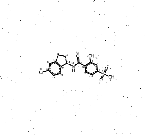 Cc1cc(S(C)(=O)=O)ccc1C(=O)N[C@@H]1CCc2cc(Cl)ccc21